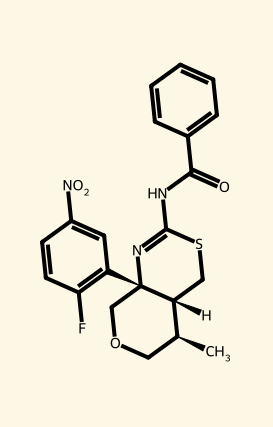 C[C@H]1COC[C@]2(c3cc([N+](=O)[O-])ccc3F)N=C(NC(=O)c3ccccc3)SC[C@H]12